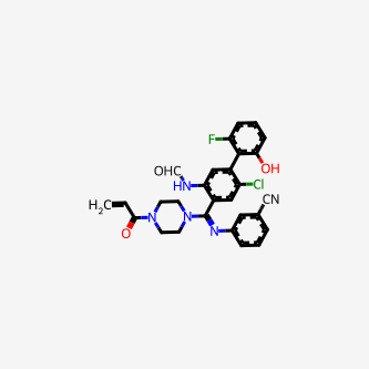 C=CC(=O)N1CCN(/C(=N/c2cccc(C#N)c2)c2cc(Cl)c(-c3c(O)cccc3F)cc2NC=O)CC1